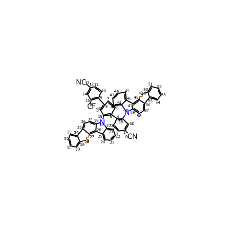 N#Cc1ccc(-c2ccc(-c3ccc(C#N)cc3C(F)(F)F)cc2-n2c3ccccc3c3c4sc5ccccc5c4ccc32)c(-n2c3ccccc3c3c4sc5ccccc5c4ccc32)c1